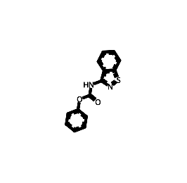 O=C(Nc1nsc2ccccc12)Oc1ccccc1